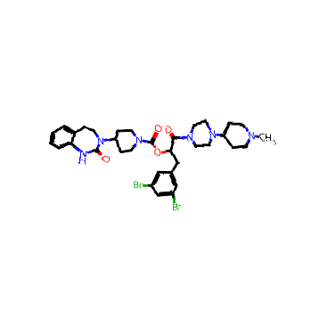 CN1CCC(N2CCN(C(=O)C(Cc3cc(Br)cc(Br)c3)OC(=O)N3CCC(N4CCc5ccccc5NC4=O)CC3)CC2)CC1